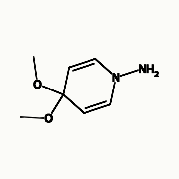 COC1(OC)C=CN(N)C=C1